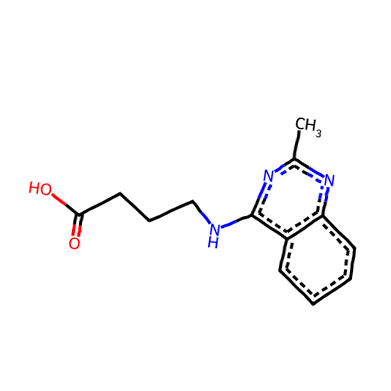 Cc1nc(NCCCC(=O)O)c2ccccc2n1